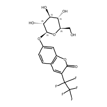 O=c1oc2cc(O[C@@H]3O[C@H](CO)[C@@H](O)[C@H](O)[C@H]3O)ccc2cc1C(F)(F)C(F)(F)F